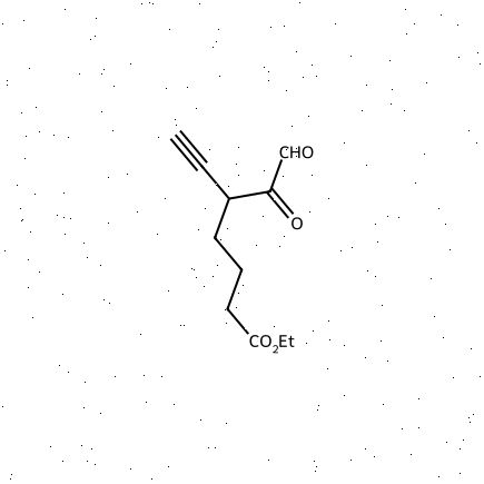 C#CC(CCCC(=O)OCC)C(=O)C=O